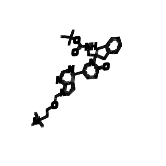 CC(C)(C)OC(=O)NCC1(n2cc(-c3ncnc4c3ccn4COCC[Si](C)(C)C)ccc2=O)Cc2ccccc2C1